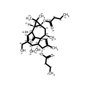 CCCC(=O)O[C@H]1C(C)=C[C@]23C(=O)[C@@H](C=C(CO)[C@@H](O)[C@]12O)[C@@H]1C(C)(C)[C@]1(OC(=O)CCC)C[C@H]3C